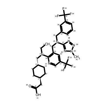 CCN(C[C@H]1CC[C@H](CC(=O)O)CC1)c1ncc(C(F)(F)F)cc1CN(Cc1cccc(C(F)(F)F)c1)c1nnn(C)n1